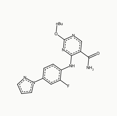 CCCCOc1ncc(C(N)=O)c(Nc2ccc(-n3cccn3)cc2F)n1